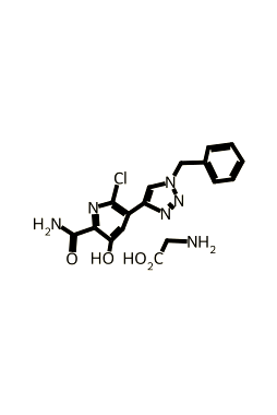 NC(=O)c1nc(Cl)c(-c2cn(Cc3ccccc3)nn2)cc1O.NCC(=O)O